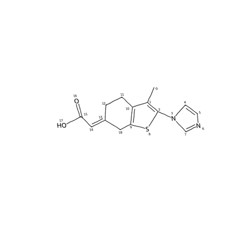 Cc1c(-n2ccnc2)sc2c1CCC(=CC(=O)O)C2